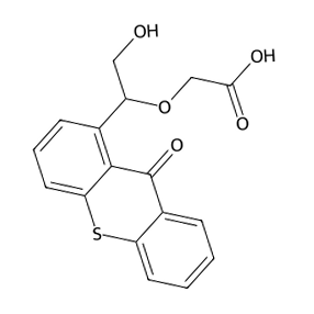 O=C(O)COC(CO)c1cccc2sc3ccccc3c(=O)c12